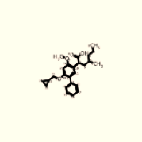 CCCC(C)CC(C(=O)O)c1cc(-c2ccccc2)c(OCC2CC2)cc1OC